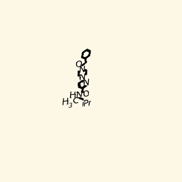 CC(C)CC(C)NC(=O)c1ccc(N2CCN(C(=O)CC3CCCCC3)CC2)nc1